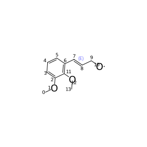 COc1cccc(/C=C/C[O])c1OC